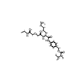 CCNC(=O)COCC(=O)N[C@@H](CCCCN)C(=O)Nc1ccc(COC(=O)C(C)C(C)C)cc1